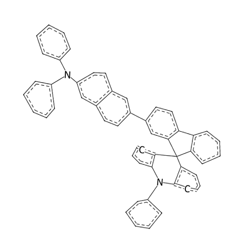 c1ccc(N(c2ccccc2)c2ccc3cc(-c4ccc5c(c4)C4(c6ccccc6-5)c5ccccc5N(c5ccccc5)c5ccccc54)ccc3c2)cc1